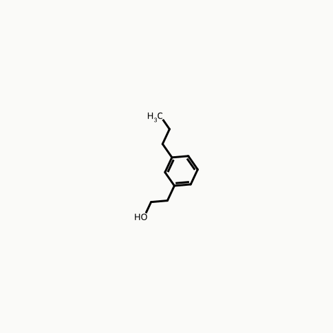 CCCc1cccc(CCO)c1